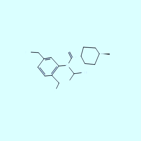 C[CH]c1ccc(CC)c(N(C(=O)[C@H]2CC[C@H](C)CC2)C(C)C)c1